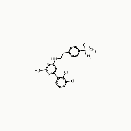 Cc1c(Cl)cccc1-c1cc(NCCc2ccc(C(C)(C)C)cc2)nc(N)n1